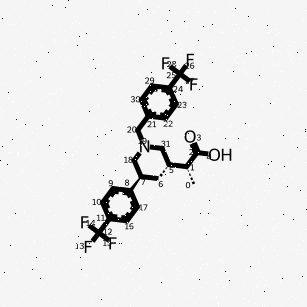 C[C@@H](C(=O)O)[C@@H]1C[C@@H](c2ccc(C(F)(F)F)cc2)CN(Cc2ccc(C(F)(F)F)cc2)C1